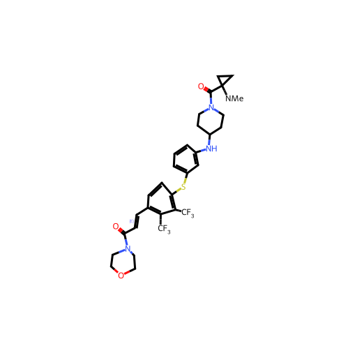 CNC1(C(=O)N2CCC(Nc3cccc(Sc4ccc(/C=C/C(=O)N5CCOCC5)c(C(F)(F)F)c4C(F)(F)F)c3)CC2)CC1